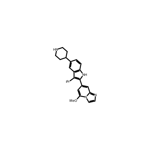 COc1cc(-c2[nH]c3ccc(C4CCNCC4)cc3c2C(C)C)cc2nccn12